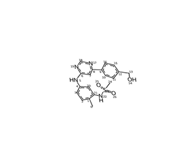 Cc1ccc(Nc2cc(-c3ccc(CO)cc3)ncn2)cc1NS(C)(=O)=O